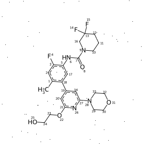 Cc1cc(F)c(NC(=O)N2CCCC(F)(F)C2)cc1-c1cc(OCCO)nc(N2CCOCC2)c1